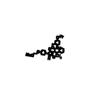 COCCOc1ccc([C@H]2NC(=O)N(C(C(=O)Nc3ccc(OC(C)C)cc3F)[C@@H](C)c3ccccc3)C2=O)cc1